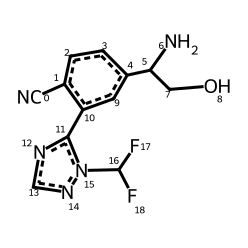 N#Cc1ccc(C(N)CO)cc1-c1ncnn1C(F)F